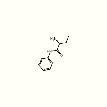 CC[C@H](N)C(=O)Nc1cccnc1